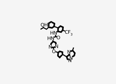 Cc1ccn2ncc(-c3ccc(Oc4ncc(NC(=O)Nc5cc(C(F)(F)F)ccc5-c5cccc(CC(C)O)c5)cn4)cc3)c2n1